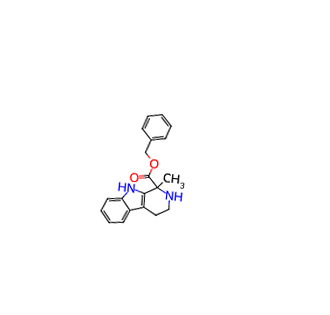 CC1(C(=O)OCc2ccccc2)NCCc2c1[nH]c1ccccc21